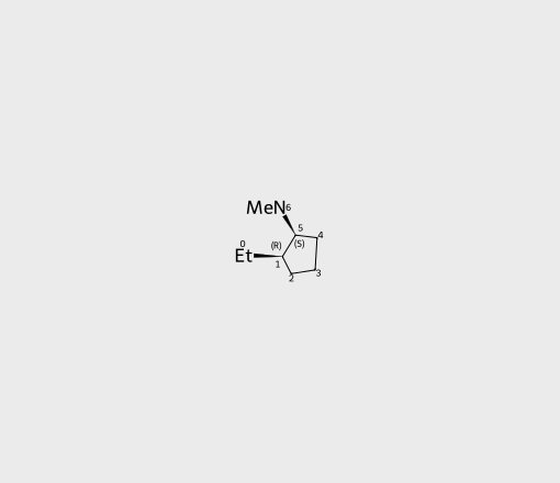 CC[C@@H]1CCC[C@@H]1NC